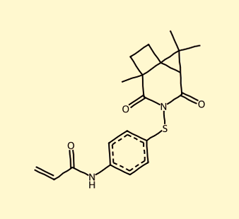 C=CC(=O)Nc1ccc(SN2C(=O)C3C(C)(C)C34CCC4(C)C2=O)cc1